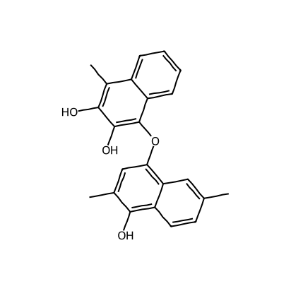 Cc1ccc2c(O)c(C)cc(Oc3c(O)c(O)c(C)c4ccccc34)c2c1